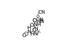 Cn1cnnc1C1(c2cccc(NC(=O)c3cc(CNC4CCOCC4)c4c(n3)C(C)(C)CN4)c2)CC(CC#N)C1